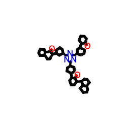 c1ccc2c(-c3cccc4c3oc3cc(-c5nc(-c6ccc7oc8ccccc8c7c6)nc(-c6ccc7oc8c9ccccc9ccc8c7c6)n5)ccc34)cccc2c1